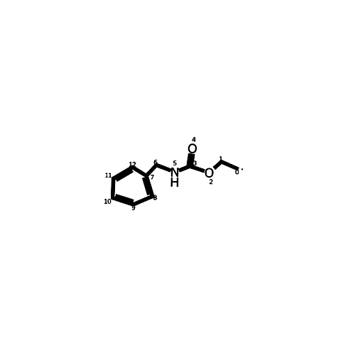 [CH2]COC(=O)NCc1ccccc1